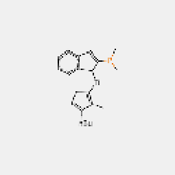 CCCCC1=CC[C]([Ti][CH]2C(P(C)C)=Cc3ccccc32)=C1C